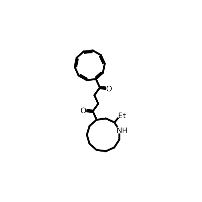 CCC1CC(C(=O)CCC(=O)c2ccccccccc2)CCCCCCCN1